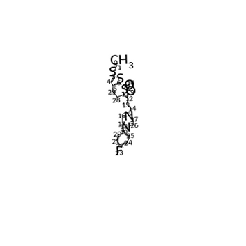 CCSc1cc2c(s1)S(=O)(=O)C(CCCN1CCN(c3ccc(F)cc3)CC1)CC2